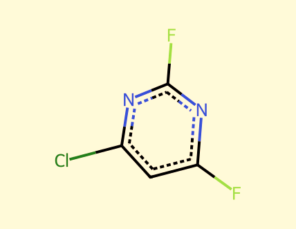 Fc1cc(Cl)nc(F)n1